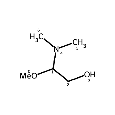 COC(CO)N(C)C